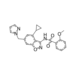 COc1ccccc1S(=O)(=O)Nc1noc2cc(Cn3cccn3)cc(C3CC3)c12